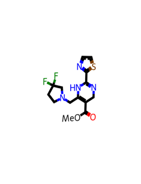 COC(=O)C1=C(CN2CCC(F)(F)C2)NC(c2nccs2)=NC1